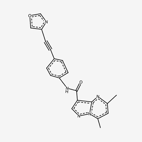 Cc1cc(C)n2ncc(C(=O)Nc3ccc(C#Cc4cocn4)cc3)c2n1